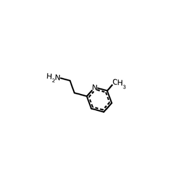 Cc1cccc(CCN)n1